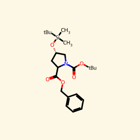 CC(C)(C)OC(=O)N1C[C@@H](O[Si](C)(C)C(C)(C)C)CC1C(=O)OCc1ccccc1